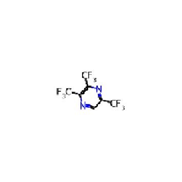 FC(F)(F)c1cnc(C(F)(F)F)c(C(F)(F)F)n1